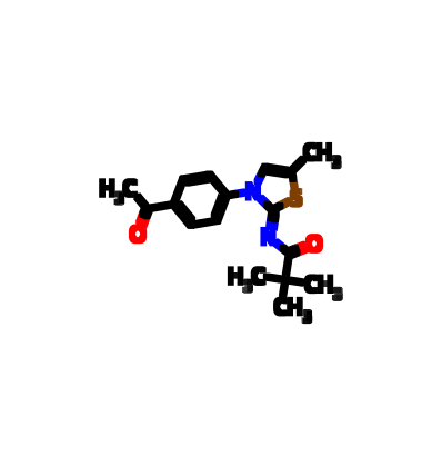 CC(=O)c1ccc(-n2cc(C)sc2=NC(=O)C(C)(C)C)cc1